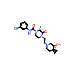 C[C@H]1C(=O)N(CCN2CCC3(CC3)[C@H](O)C2)CCN1C(=O)Nc1cccc(Cl)c1